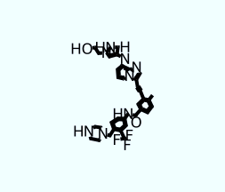 Cc1ccc(C(=O)Nc2ccc(CN3CCNCC3)c(C(F)(F)F)c2)cc1C#Cc1cnc2c(NC3=CN(CCO)NC3)cccn12